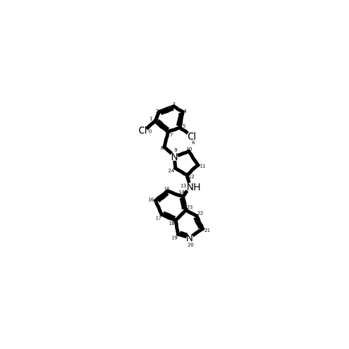 Clc1cccc(Cl)c1CN1CCC(Nc2cccc3cnccc23)C1